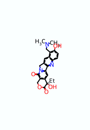 CC[C@]1(O)C(=O)OCc2c1cc1n(c2=O)Cc2cc3c(CN(C)C)c(O)ccc3nc2-1